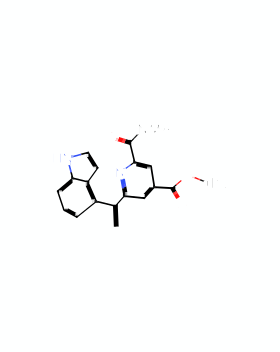 C=C(c1cc(C(=O)OC(C)(C)C)cc(C(=O)NC)n1)c1cccc2[nH]ccc12